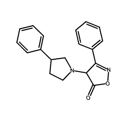 O=C1ON=C(c2ccccc2)C1N1CCC(c2ccccc2)C1